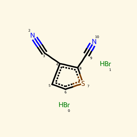 Br.Br.N#Cc1ccsc1C#N